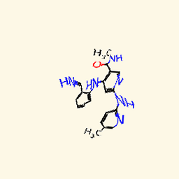 CNC(=O)c1cnc(Nc2ccc(C)cn2)cc1Nc1ccccc1C=N